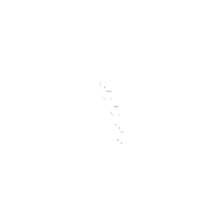 CC(=O)N1c2ccc(-c3ccc(CNC(=O)CN)cc3)cc2CCC1C